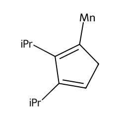 CC(C)C1=CC[C]([Mn])=C1C(C)C